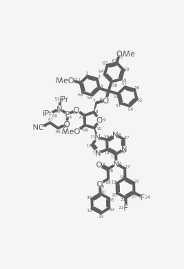 COc1ccc(C(OC[C@H]2O[C@@H](n3cnc4c(N(Cc5ccc(F)c(F)c5)C(=O)COc5ccccc5)ncnc43)C(OC)C2OP(OCCC#N)N(C(C)C)C(C)C)(c2ccccc2)c2ccc(OC)cc2)cc1